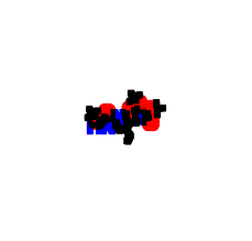 C=Cc1cc(NC(=O)OC(C)(C)C)nc(C)c1CN(C(=O)OC(C)(C)C)C(=O)OC(C)(C)C